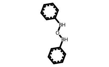 B(OBc1ccccc1)c1ccccc1